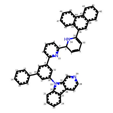 C1=CC(c2cccc(-c3cc(-c4ccccc4)cc(-n4c5ccccc5c5ccncc54)c3)n2)NC(c2cc3ccccc3c3ccccc23)=C1